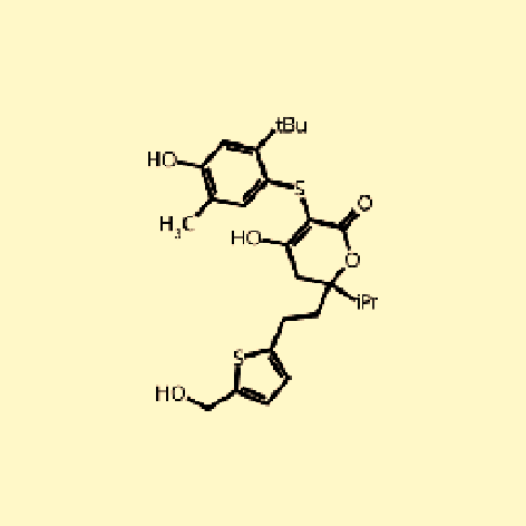 Cc1cc(SC2=C(O)CC(CCc3ccc(CO)s3)(C(C)C)OC2=O)c(C(C)(C)C)cc1O